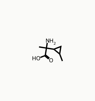 CC1CC1C(C)(N)C(=O)O